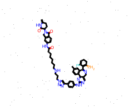 C=C1CCC(N2Cc3cc(NC(=O)CCCCCCCNCCCn4cc(-c5ccc(Nc6ncc7c(n6)-c6ccc(C)cc6C(C6=C(P)CCC=C6F)=NC7)cc5)nn4)ccc3C2=O)C(=O)N1